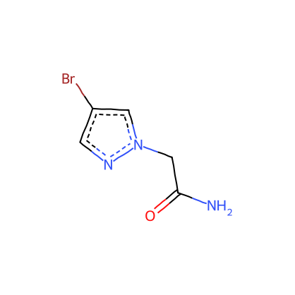 NC(=O)Cn1cc(Br)cn1